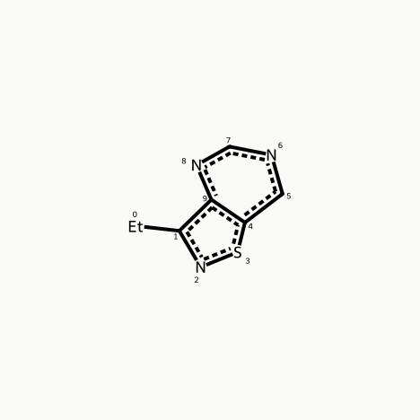 CCc1nsc2cncnc12